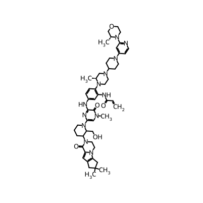 C=CC(=O)Nc1cc(Nc2nc(N3CCCC(N4CCn5c(cc6c5CC(C)(C)C6)C4=O)C3CO)cn(C)c2=O)ccc1N1CCN(C2CCN(c3ccnc(N4CCOC[C@@H]4C)c3)CC2)C[C@@H]1C